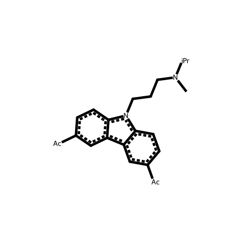 CC(=O)c1ccc2c(c1)c1cc(C(C)=O)ccc1n2CCCN(C)C(C)C